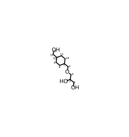 OCC(O)COCC1CCC(CO)CC1